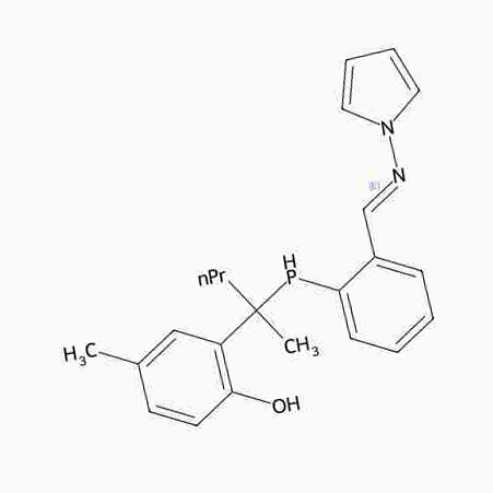 CCCC(C)(Pc1ccccc1/C=N/n1cccc1)c1cc(C)ccc1O